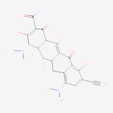 C#Cc1cc(N(C)C)c2c(c1O)C(=O)C1=C(O)[C@]3(O)C(=O)C(C(N)=O)=C(O)[C@@H](N(C)C)[C@@H]3C[C@@H]1C2